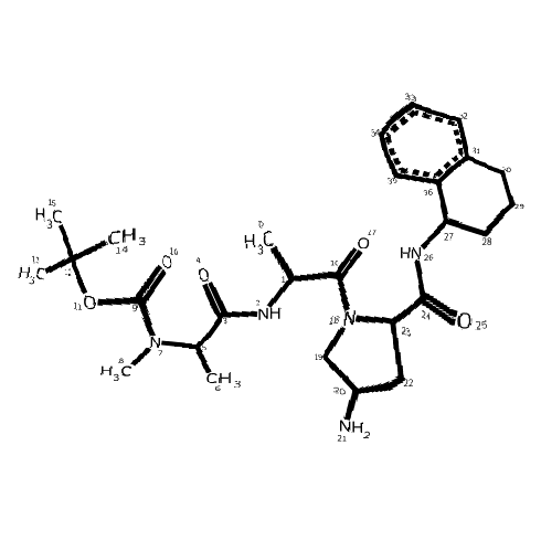 CC(NC(=O)C(C)N(C)C(=O)OC(C)(C)C)C(=O)N1CC(N)CC1C(=O)NC1CCCc2ccccc21